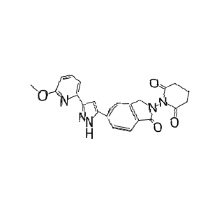 COc1cccc(-c2cc(-c3ccc4c(c3)CN(N3C(=O)CCCC3=O)C4=O)[nH]n2)n1